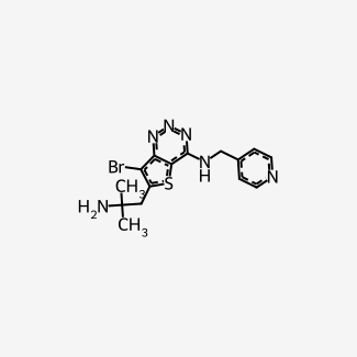 CC(C)(N)Cc1sc2c(NCc3ccncc3)nnnc2c1Br